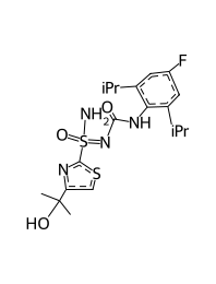 CC(C)c1cc(F)cc(C(C)C)c1NC(=O)N=S(N)(=O)c1nc(C(C)(C)O)cs1